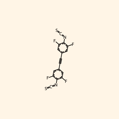 Fc1cc(C#Cc2cc(F)c(N=C=S)c(F)c2)cc(F)c1N=C=S